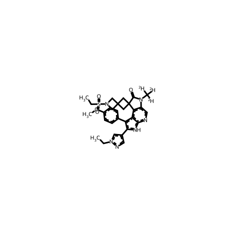 [2H]C([2H])([2H])N1C(=O)C2(CC3(CN(S(=O)(=O)CC)C3)C2)c2c1cnc1[nH]c(-c3cnn(CC)c3)c(-c3ccc(OC)cc3)c21